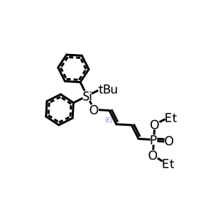 CCOP(=O)(C=C/C=C/O[Si](c1ccccc1)(c1ccccc1)C(C)(C)C)OCC